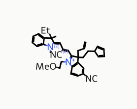 [C-]#[N+]c1ccc2c(c1)C(CC=C)(CCC1C=CC=C1)C(/C=C(C#N)/C=C1\N(C)c3ccccc3C1(C)CC)=[N+]2CCOC